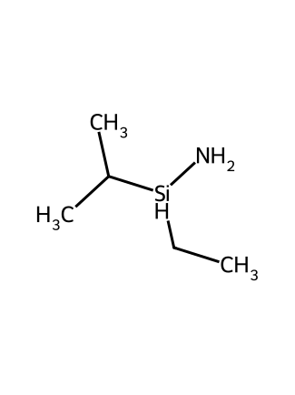 CC[SiH](N)C(C)C